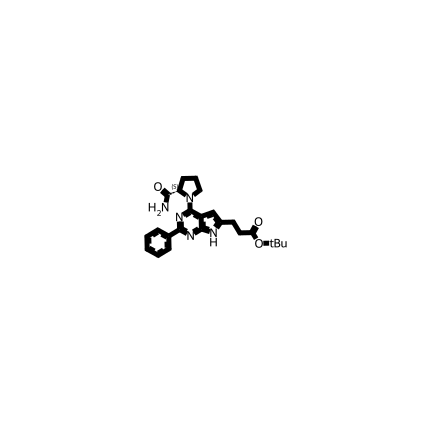 CC(C)(C)OC(=O)CCc1cc2c(N3CCC[C@H]3C(N)=O)nc(-c3ccccc3)nc2[nH]1